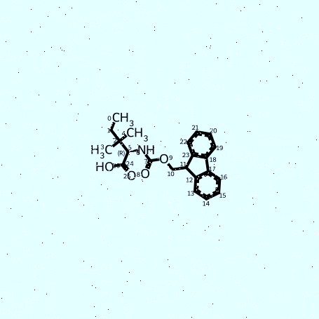 CCC(C)(C)[C@@H](NC(=O)OCC1c2ccccc2-c2ccccc21)C(=O)O